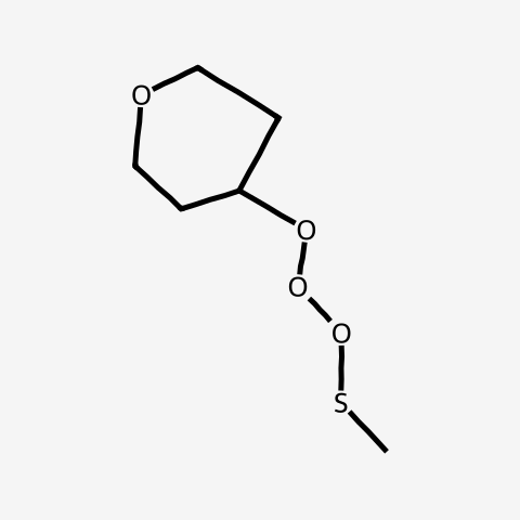 CSOOOC1CCOCC1